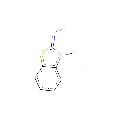 Cl.Cl.Cn1c(=NN)sc2ccccc21